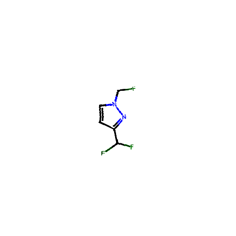 FCn1ccc(C(F)F)n1